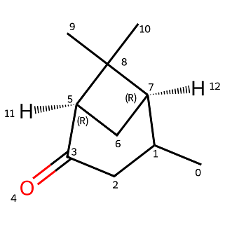 CC1CC(=O)[C@@H]2C[C@H]1C2(C)C